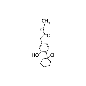 CCOC(=O)Cc1ccc(C2(Cl)CCCCC2)c(O)c1